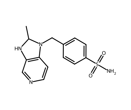 CC1Nc2cnccc2N1Cc1ccc(S(N)(=O)=O)cc1